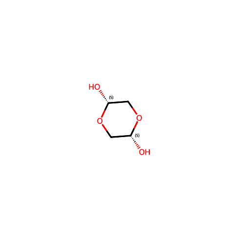 O[C@@H]1CO[C@H](O)CO1